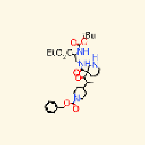 CCOC(=O)C(CNC(=O)[C@]1(C(=O)C(C)C2CCN(C(=O)OCc3ccccc3)CC2)CCCNC1)NC(=O)OC(C)(C)C